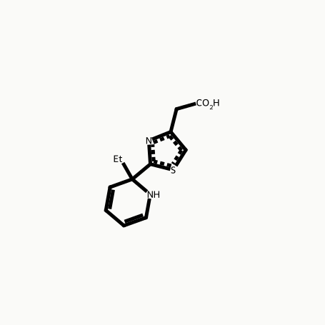 CCC1(c2nc(CC(=O)O)cs2)C=CC=CN1